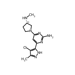 CN[C@H]1CCN(c2cc(-c3[nH]nc(C)c3Cl)nc(N)n2)C1